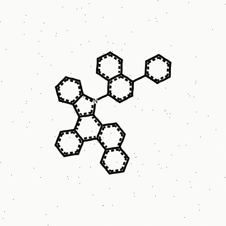 c1ccc(-c2ccc(-n3c4ccccc4c4c5ccccc5c5c6ccccc6ccc5c43)c3ccccc23)cc1